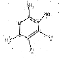 CCc1c(C)nc(N)c([N+](=O)[O-])c1S